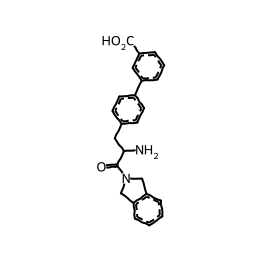 NC(Cc1ccc(-c2cccc(C(=O)O)c2)cc1)C(=O)N1Cc2ccccc2C1